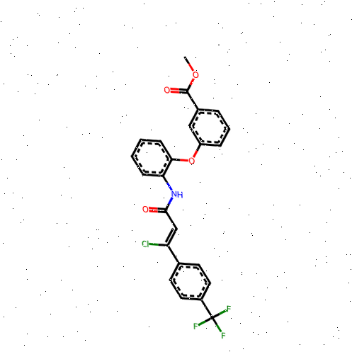 COC(=O)c1cccc(Oc2ccccc2NC(=O)C=C(Cl)c2ccc(C(F)(F)F)cc2)c1